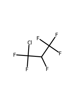 F[C](C(F)(F)F)C(F)(F)Cl